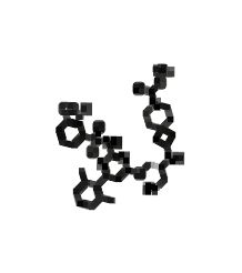 Cc1cccc(C)c1-c1cc(OC[C@@H](CC(C)C)NC2CC3(CCN(C(=O)OC(C)(C)C)CC3)C2)nc(NS(=O)(=O)c2cccc(C(=O)O)c2)n1